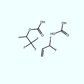 C=CC(F)F.CC(OC(=O)O)C(F)(F)F.O=C(O)O